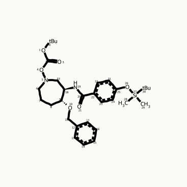 CC(C)(C)OC(=O)ON1CCC[C@@H](OCc2ccccc2)[C@H](NC(=O)c2ccc(O[Si](C)(C)C(C)(C)C)cc2)C1